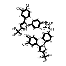 O=S(=O)(Nc1ccc(-n2nc(C(F)(F)F)cc2-c2ccc(Cl)c(Cl)c2)cc1)Nc1ccc(-n2nc(C(F)(F)F)cc2-c2ccc(Cl)c(Cl)c2)cc1